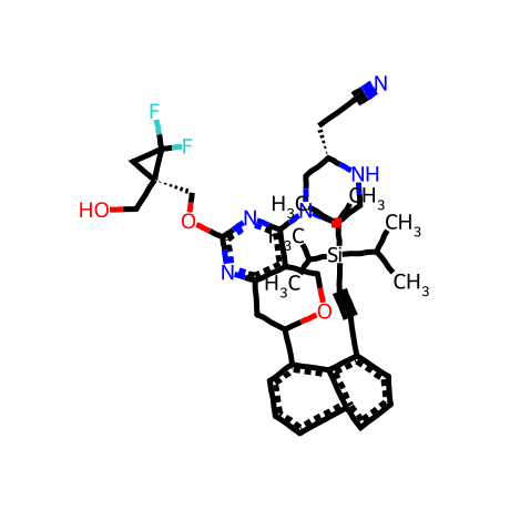 CC(C)[Si](C#Cc1cccc2cccc(C3Cc4nc(OC[C@]5(CO)CC5(F)F)nc(N5CCN[C@@H](CC#N)C5)c4CO3)c12)(C(C)C)C(C)C